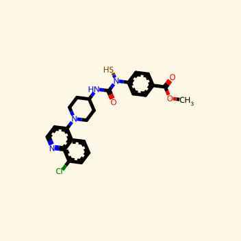 COC(=O)c1ccc(N(S)C(=O)NC2CCN(c3ccnc4c(Cl)cccc34)CC2)cc1